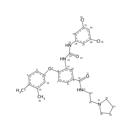 Cc1ccc(Oc2ccc(C(=O)NCCN3CCCC3)cc2NC(=O)Nc2cc(Cl)cc(Cl)c2)cc1C